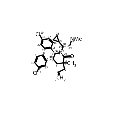 C=CCC1(C)C[C@H](c2cccc(Cl)c2)[C@@H](c2ccc(Cl)cc2)N([C@@H](CNC)C2CC2)C1=O